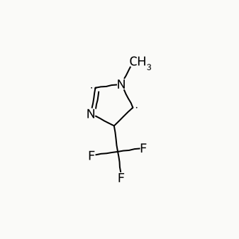 CN1[C]=NC(C(F)(F)F)[CH]1